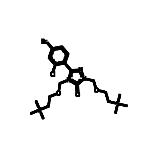 CS(C)(C)CCOCn1nc(-c2ccc(Br)cc2Cl)n(COCCS(C)(C)C)c1=O